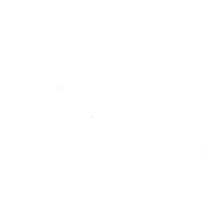 [C]1=C(CCCCC2=[C]CC=C2)C=CC1